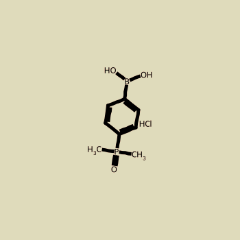 CP(C)(=O)c1ccc(B(O)O)cc1.Cl